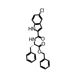 O=C(N[C@@H](Cc1ccccc1)C(=O)OCc1ccccc1)c1cc2cc(Cl)ccc2[nH]1